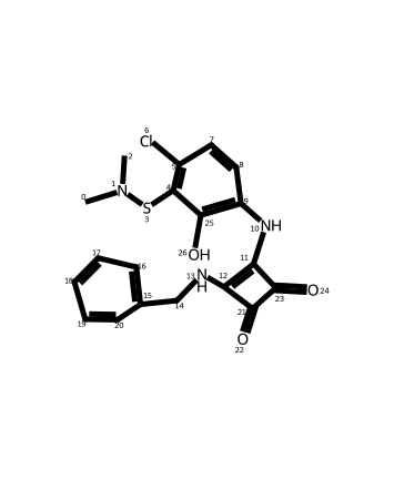 CN(C)Sc1c(Cl)ccc(Nc2c(NCc3ccccc3)c(=O)c2=O)c1O